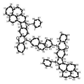 c1ccc(-n2c3cc4c(cc3c3c5ccc6cccc7ccc(cc32)c5c76)oc2ccccc2n4-c2ccc3c(ccc4cc(-n5c6ccccc6oc6cc7c8c9ccc%10cccc%11ccc(cc8n(-c8ccccc8)c7cc65)c9c%11%10)ccc43)c2)cc1